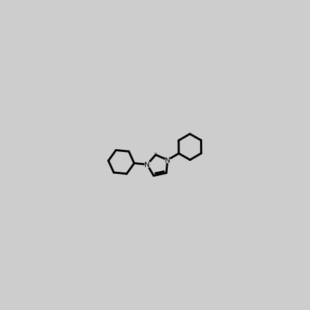 [C]1N(C2CCCCC2)C=CN1C1CCCCC1